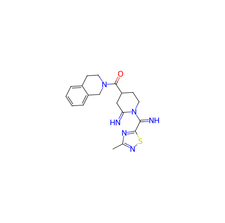 Cc1nsc(C(=N)N2CCC(C(=O)N3CCc4ccccc4C3)CC2=N)n1